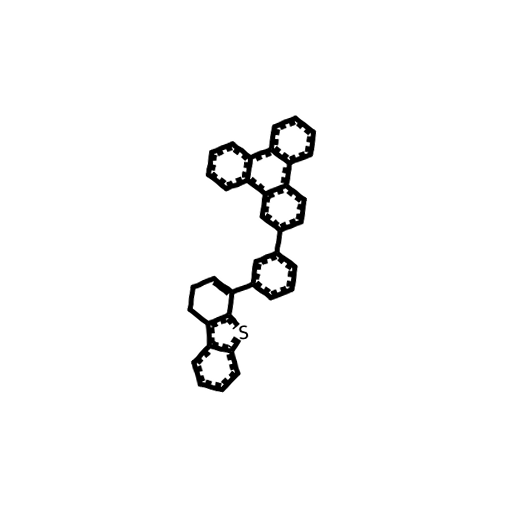 C1=C(c2cccc(-c3ccc4c5ccccc5c5ccccc5c4c3)c2)c2sc3ccccc3c2CC1